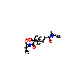 CCC1CN1C(=O)CCC(C)(C)C(C)(O)C(=O)N1CC1CC